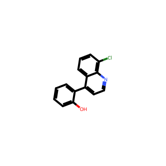 Oc1ccccc1-c1ccnc2c(Cl)cccc12